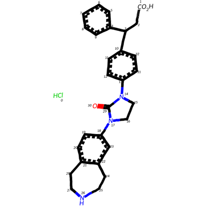 Cl.O=C(O)CC(c1ccccc1)c1ccc(N2CCN(c3ccc4c(c3)CCNCC4)C2=O)cc1